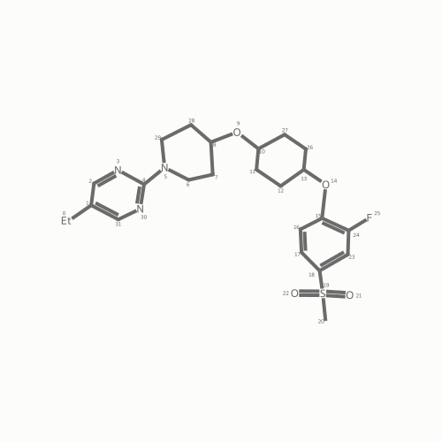 CCc1cnc(N2CCC(OC3CCC(Oc4ccc(S(C)(=O)=O)cc4F)CC3)CC2)nc1